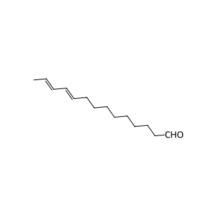 CC=CC=CCCCCCCCCC=O